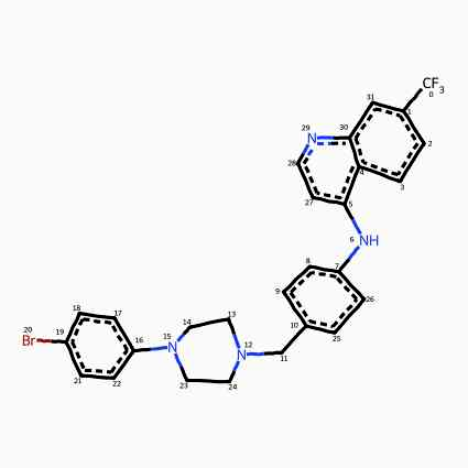 FC(F)(F)c1ccc2c(Nc3ccc(CN4CCN(c5ccc(Br)cc5)CC4)cc3)ccnc2c1